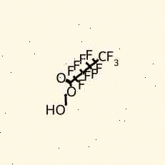 O=C(OCCO)C(F)(F)C(F)(F)C(F)(F)C(F)(F)C(F)(F)F